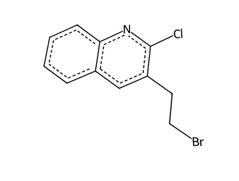 Clc1nc2ccccc2cc1CCBr